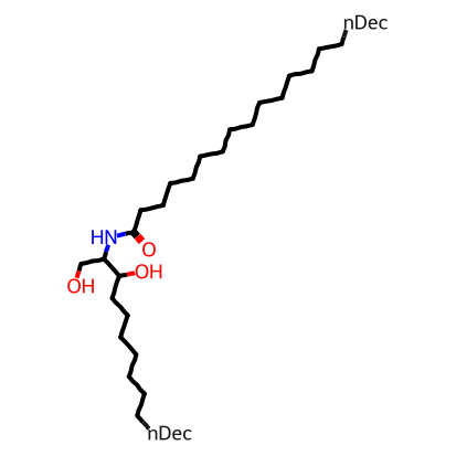 CCCCCCCCCCCCCCCCCCCCCCCCC(=O)NC(CO)C(O)CCCCCCCCCCCCCCCCC